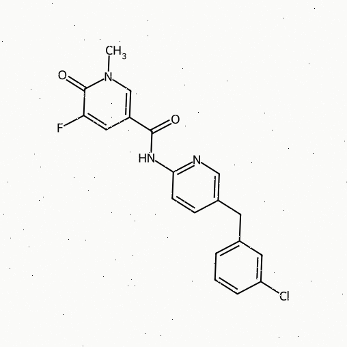 Cn1cc(C(=O)Nc2ccc(Cc3cccc(Cl)c3)cn2)cc(F)c1=O